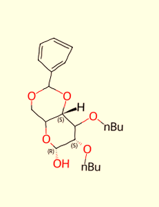 CCCCOC1[C@H]2OC(c3ccccc3)OCC2O[C@@H](O)[C@H]1OCCCC